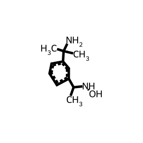 CC(NO)c1cccc(C(C)(C)N)c1